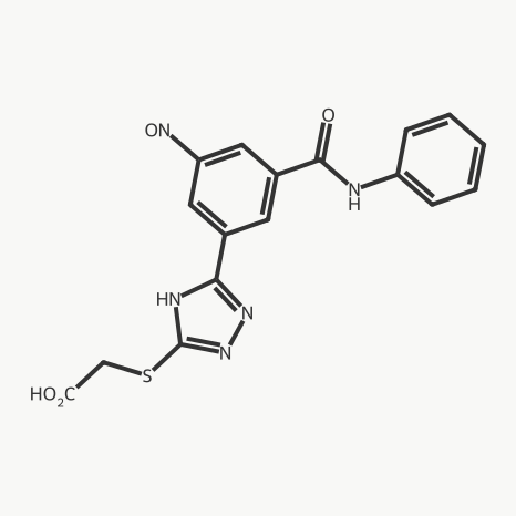 O=Nc1cc(C(=O)Nc2ccccc2)cc(-c2nnc(SCC(=O)O)[nH]2)c1